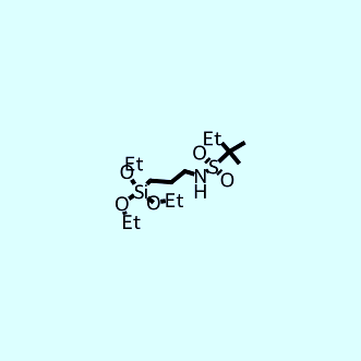 CCO[Si](CCCNS(=O)(=O)C(C)(C)CC)(OCC)OCC